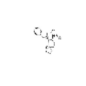 CN(Cc1ccccc1)[C@H]1C[C@@]2(CCCO2)CC[C@@H]1N1CCCC1=O